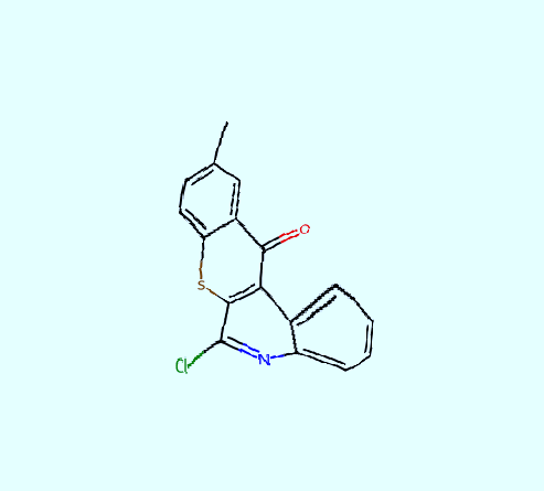 Cc1ccc2sc3c(Cl)nc4ccccc4c3c(=O)c2c1